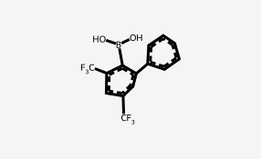 OB(O)c1c(-c2ccccc2)cc(C(F)(F)F)cc1C(F)(F)F